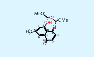 COCOCOC.Cc1cc(O)c2c(c1)C(=O)C=CC2=O